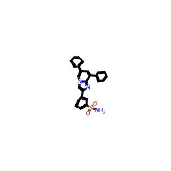 NS(=O)(=O)c1cccc(-c2cn3cc(-c4ccccc4)cc(-c4ccccc4)c3n2)c1